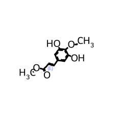 CCOc1c(O)cc(/C=C/C(=O)OC)cc1O